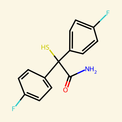 NC(=O)C(S)(c1ccc(F)cc1)c1ccc(F)cc1